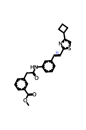 COC(=O)c1cccc(CC(=O)Nc2cccc(/C=C/c3nc(C4CCC4)cs3)c2)c1